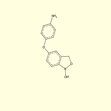 Nc1ccc(Oc2ccc3c(c2)COB3O)cc1